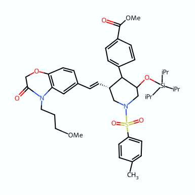 COCCCN1C(=O)COc2ccc(C=C[C@H]3CN(S(=O)(=O)c4ccc(C)cc4)CC(O[Si](C(C)C)(C(C)C)C(C)C)C3c3ccc(C(=O)OC)cc3)cc21